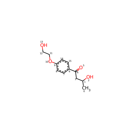 CC(O)CC(=O)c1ccc(OCCO)cc1